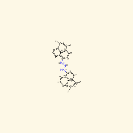 CC1=CC(C)c2cccc3c(/N=N/Nc4ccc5c6c(cccc46)C(C)C=C5C)ccc1c23